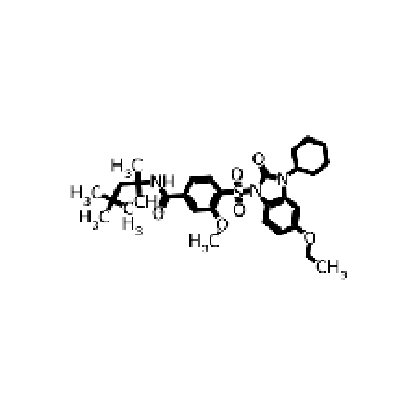 CCOc1ccc2c(c1)n(C1CCCCC1)c(=O)n2S(=O)(=O)c1ccc(C(=O)NC(C)(C)CC(C)(C)C)cc1OC